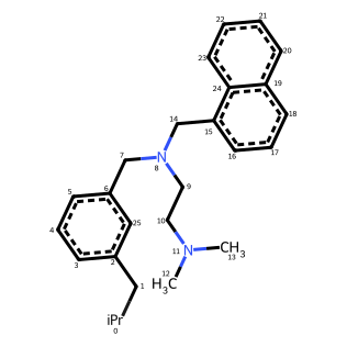 CC(C)Cc1cccc(CN(CCN(C)C)Cc2cccc3ccccc23)c1